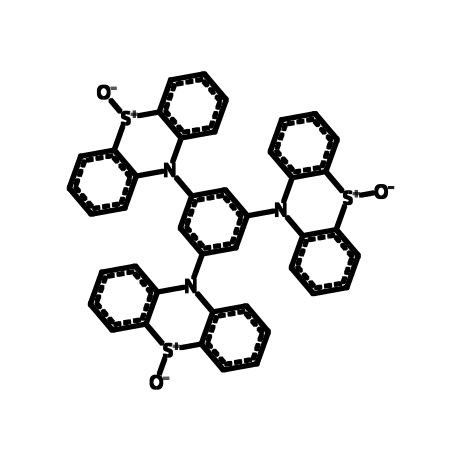 [O-][S+]1c2ccccc2N(c2cc(N3c4ccccc4[S+]([O-])c4ccccc43)cc(N3c4ccccc4[S+]([O-])c4ccccc43)c2)c2ccccc21